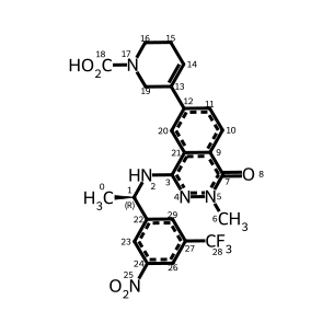 C[C@@H](Nc1nn(C)c(=O)c2ccc(C3=CCCN(C(=O)O)C3)cc12)c1cc([N+](=O)[O-])cc(C(F)(F)F)c1